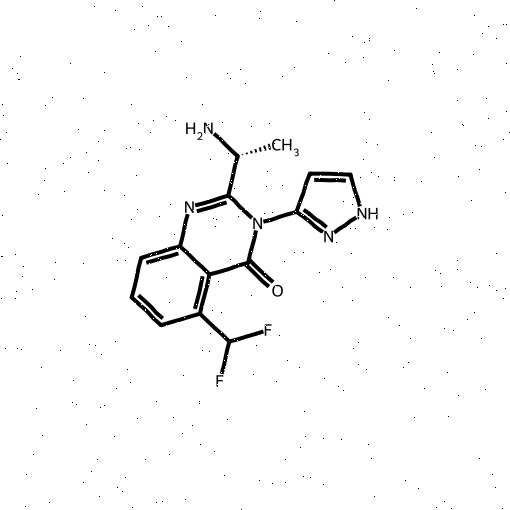 C[C@@H](N)c1nc2cccc(C(F)F)c2c(=O)n1-c1cc[nH]n1